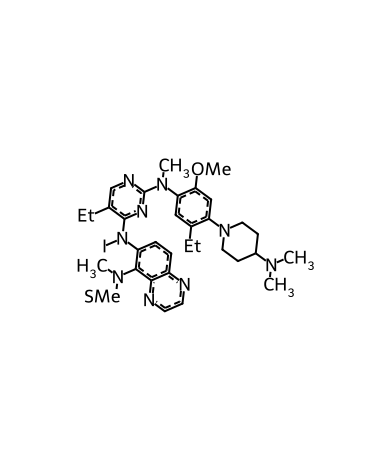 CCc1cc(N(C)c2ncc(CC)c(N(I)c3ccc4nccnc4c3N(C)SC)n2)c(OC)cc1N1CCC(N(C)C)CC1